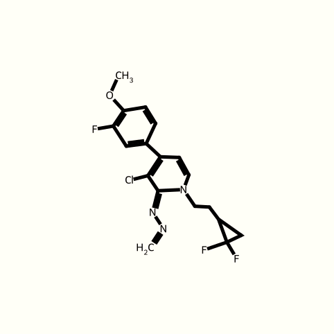 C=N/N=c1/c(Cl)c(-c2ccc(OC)c(F)c2)ccn1CCC1CC1(F)F